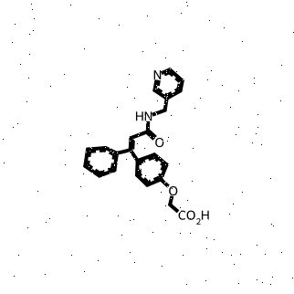 O=C(O)COc1ccc(/C(=C\C(=O)NCc2cccnc2)c2ccccc2)cc1